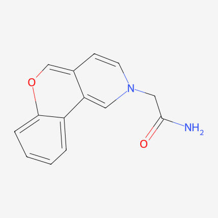 NC(=O)CN1C=CC2=COc3ccccc3C2=C1